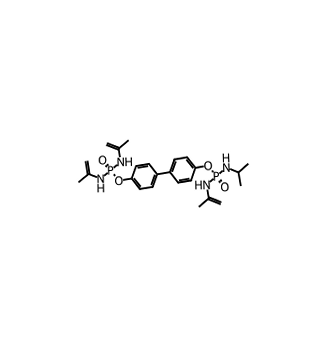 C=C(C)NP(=O)(NC(=C)C)Oc1ccc(-c2ccc(OP(=O)(NC(=C)C)NC(C)C)cc2)cc1